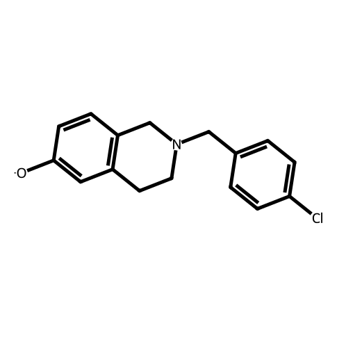 [O]c1ccc2c(c1)CCN(Cc1ccc(Cl)cc1)C2